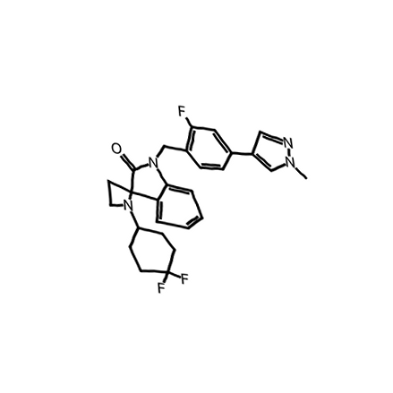 Cn1cc(-c2ccc(CN3C(=O)C4(CCN4C4CCC(F)(F)CC4)c4ccccc43)c(F)c2)cn1